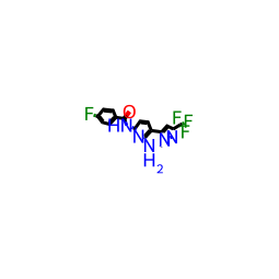 Cn1nc(C(F)(F)F)cc1-c1ccc(NC(=O)c2ccc(F)cc2)nc1N